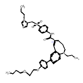 CCCCOCCOc1ccc(-c2ccc3c(c2)/C=C(/C(=O)Nc2ccc(S(=O)(=O)Cc4cncn4CCC)cc2)CCCN3CCC)cc1